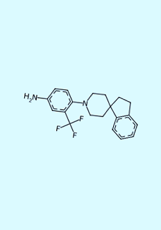 Nc1ccc(N2CCC3(CCc4ccccc43)CC2)c(C(F)(F)F)c1